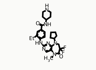 CCc1cc(C(=O)NC2CCNCC2)ccc1Nc1ncc2c(n1)N(C1CCCC1)CC(F)(F)C(=O)N2C